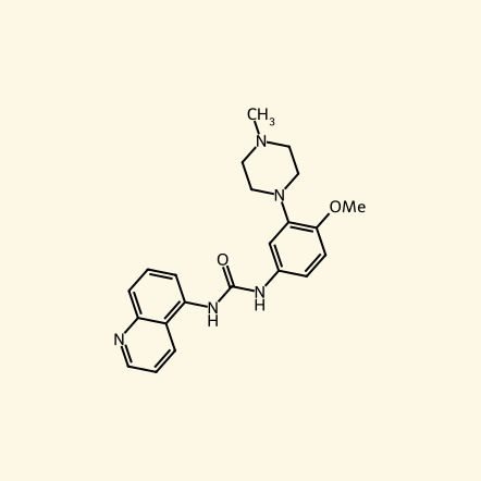 COc1ccc(NC(=O)Nc2cccc3ncccc23)cc1N1CCN(C)CC1